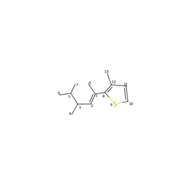 C/C(=C\C(C)C(C)C)c1sccc1C